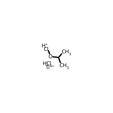 CC(C)OCl.Cl.[H+].[Ti+4]